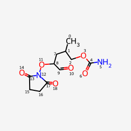 CC(COC(N)=O)CC(C=O)ON1C(=O)CCC1=O